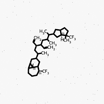 C=CC(CC(C)C1CC2C3CCC[C@H](C(F)(F)F)C(C1)[C@@H]32)C(C=C)CC(C)C(C)C1CC2CC[C@@](C)(C(F)(F)F)[C@H]2C1